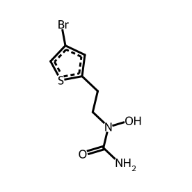 NC(=O)N(O)CCc1cc(Br)cs1